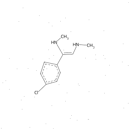 CN/C=C(\NC)c1ccc(Cl)cc1